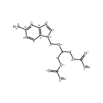 CCCCC(=O)OCC(COC(=O)CCCC)OCn1cnc2nc(N)ncc21